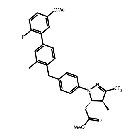 COC(=O)C[C@H]1[C@H](C)C(C(F)(F)F)=NN1c1ccc(Cc2ccc(-c3cc(OC)ccc3F)cc2C)cc1